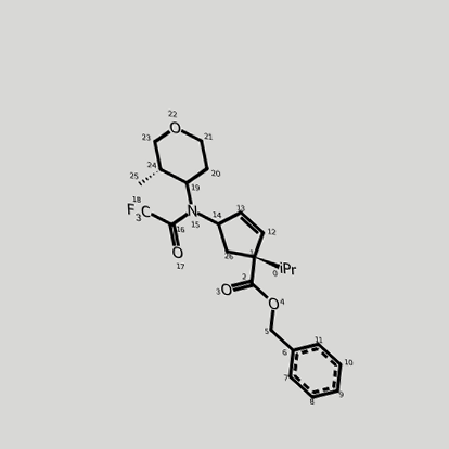 CC(C)[C@]1(C(=O)OCc2ccccc2)C=CC(N(C(=O)C(F)(F)F)C2CCOC[C@H]2C)C1